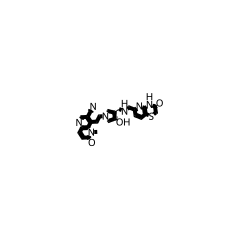 Cn1c(=O)ccc2ncc(C#N)c(CCN3C[C@H](CNCc4ccc5c(n4)NC(=O)CS5)[C@H](O)C3)c21